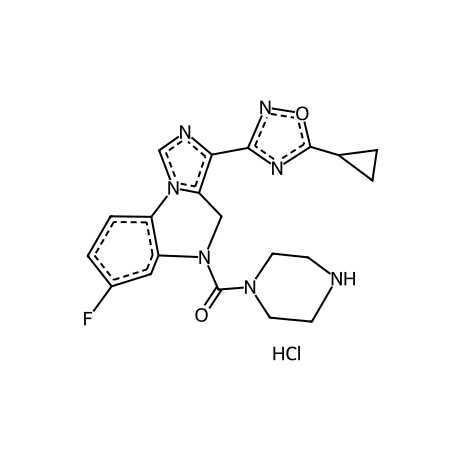 Cl.O=C(N1CCNCC1)N1Cc2c(-c3noc(C4CC4)n3)ncn2-c2ccc(F)cc21